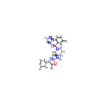 Cc1cccc(-c2nc(N3CC4CCN(C(=O)c5cc(C)ccc5-n5nccn5)C[C@H]43)oc2C)c1